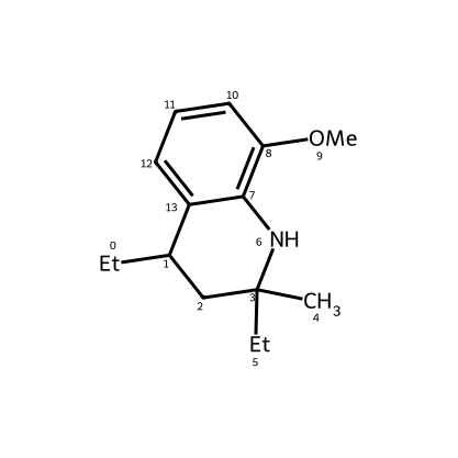 CCC1CC(C)(CC)Nc2c(OC)cccc21